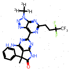 [2H]C([2H])([2H])n1nnc2c(-c3nc(N)c4c(n3)NC(=O)C4(C)c3ccccc3)nc(CCC(F)(F)C(F)(F)F)nc21